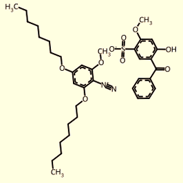 CCCCCCCCOc1cc(OC)c([N+]#N)c(OCCCCCCCC)c1.COc1cc(O)c(C(=O)c2ccccc2)cc1S(=O)(=O)[O-]